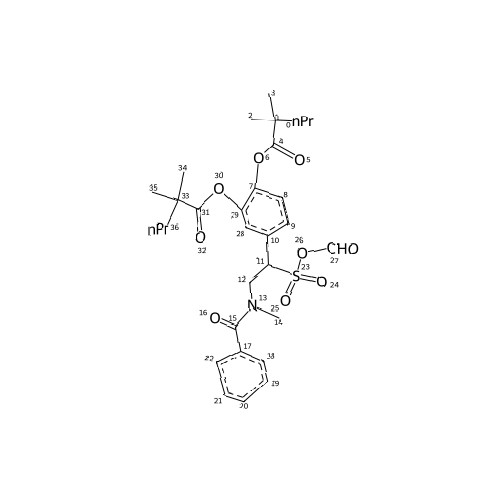 CCCC(C)(C)C(=O)Oc1ccc(C(CN(C)C(=O)c2ccccc2)S(=O)(=O)OC=O)cc1OC(=O)C(C)(C)CCC